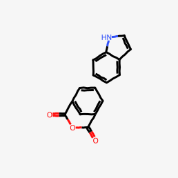 O=C1OC(=O)c2cccc1c2.c1ccc2[nH]ccc2c1